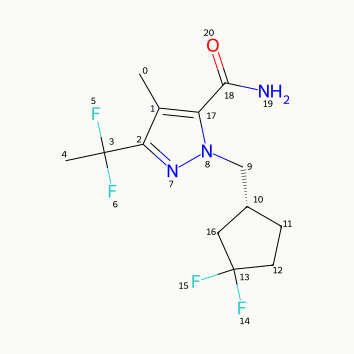 Cc1c(C(C)(F)F)nn(C[C@@H]2CCC(F)(F)C2)c1C(N)=O